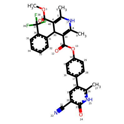 COC(=O)C1=C(C)NC(C)=C(C(=O)Oc2ccc(-c3cc(C#N)c(=O)[nH]c3C)cc2)C1c1ccccc1C(F)(F)F